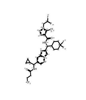 O=C(CCC(F)(F)F)NC(c1cnn2cc([C@@H](NC(=O)c3nnn(CC(F)F)c3C(F)(F)F)C3CCC(F)(F)CC3)nc2c1)C1CC1